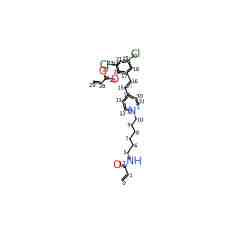 C=CC(=O)NCCCCCC[n+]1ccc(/C=C/c2cc(Cl)cc(Cl)c2OC(=O)C=C)cc1